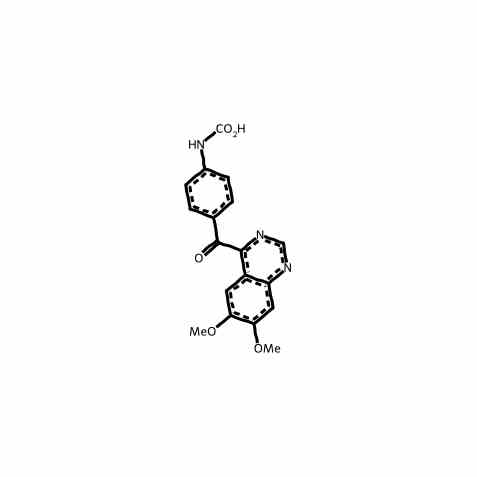 COc1cc2ncnc(C(=O)c3ccc(NC(=O)O)cc3)c2cc1OC